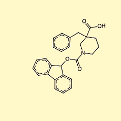 O=C(OC1c2ccccc2-c2ccccc21)N1CCCC(Cc2ccccc2)(C(=O)O)C1